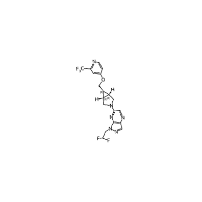 FC(F)Cn1ncc2ncc(N3C[C@@H]4[C@@H](COc5ccnc(C(F)(F)F)c5)[C@@H]4C3)nc21